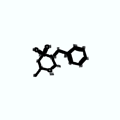 CC1CS(=O)(=O)N(Cc2ccccc2)CO1